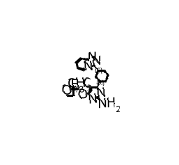 C[C@]1(COc2nc(N)nc([C@@H]3CCC[C@H](c4nnc5ccccn45)C3)c2C(F)(F)F)CCO1